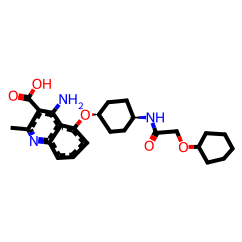 Cc1nc2cccc(O[C@H]3CC[C@H](NC(=O)COC4CCCCC4)CC3)c2c(N)c1C(=O)O